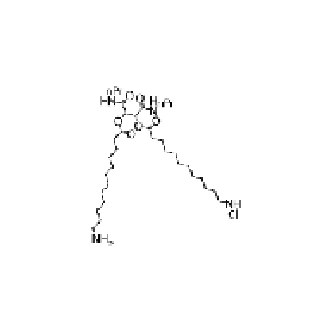 CCCNC(=O)[C@H](OC(=O)CCCCCCCCCCCN)[C@@H](OC(=O)CCCCCCCCCCCNCl)C(=O)NCCC